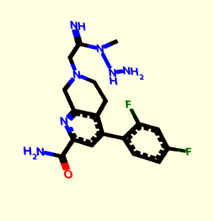 CN(NN)C(=N)CN1CCc2c(-c3ccc(F)cc3F)cc(C(N)=O)nc2C1